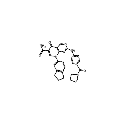 NC(=O)c1cn(-c2ccc3c(c2)CCC3)c2nc(Nc3ccc(C(=O)N4CCCC4)cc3)ncc2c1=O